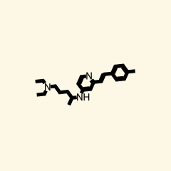 CCN(CC)CCCC(C)Nc1ccnc(/C=C/c2ccc(C)cc2)c1